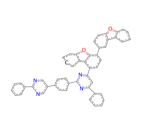 c1ccc(-c2cc(-c3ccc(-c4ccc5oc6ccccc6c5c4)c4oc5ccccc5c34)nc(-c3ccc(-c4cnc(-c5ccccc5)nc4)cc3)n2)cc1